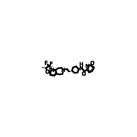 C[C@@H](Oc1ccc2c(n1)CCN(CC[C@H]1CC[C@H](NC(=O)c3cccc(=O)n3C)CC1)CC2)C(F)(F)F